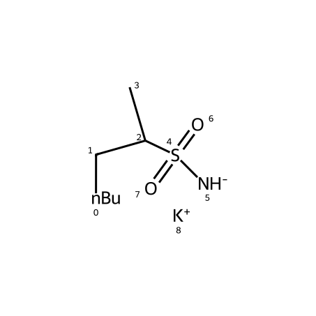 CCCCCC(C)S([NH-])(=O)=O.[K+]